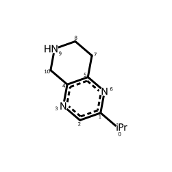 CC(C)c1cnc2c(n1)CCNC2